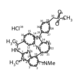 CNc1ccc2c(nc(NC(C)c3ccccc3)n2C)c1-c1ccnc(Nc2ccc(CS(C)(=O)=O)cc2)n1.Cl